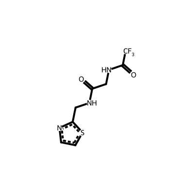 O=C(CNC(=O)C(F)(F)F)NCc1nccs1